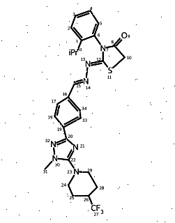 CC(C)c1ccccc1N1C(=O)CSC1=NN=Cc1ccc(-c2nc(N3CCC(C(F)(F)F)CC3)n(C)n2)cc1